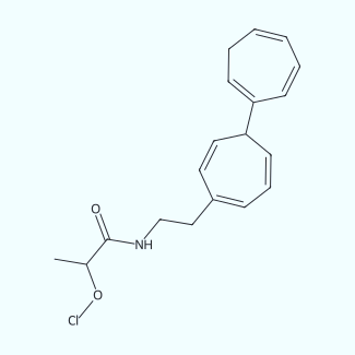 CC(OCl)C(=O)NCCC1=CC=CC(C2=CCC=CC=C2)C=C1